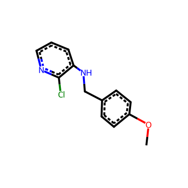 COc1ccc(CNc2cccnc2Cl)cc1